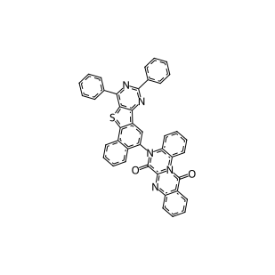 O=c1c2nc3ccccc3c(=O)n2c2ccccc2n1-c1cc2c3nc(-c4ccccc4)nc(-c4ccccc4)c3sc2c2ccccc12